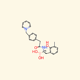 Cc1cccc(C[C@H](NC(=O)Cc2ccc(C[n+]3ccccc3)cc2)B(O)O)c1O